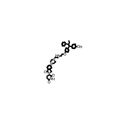 CCC(=C(c1ccc(O)cc1)c1ccc(OCCNCCN2CCN(c3ccc4c(c3)CN(C3CCC(=O)NC3=O)C4=O)CC2)cc1)c1ccccc1